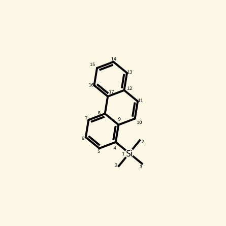 C[Si](C)(C)c1cccc2c1ccc1ccccc12